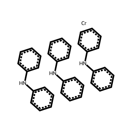 [Cr].c1ccc(Nc2ccccc2)cc1.c1ccc(Nc2ccccc2)cc1.c1ccc(Nc2ccccc2)cc1